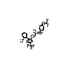 O=C(COc1cc(C(F)(F)F)nn1-c1ccccc1Cl)Nc1ccc(OC(F)F)cc1